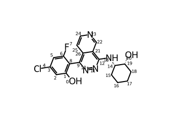 Oc1cc(Cl)cc(F)c1-c1nnc(N[C@H]2CCCC[C@H]2O)c2cnccc12